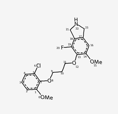 COc1cccc(Cl)c1OCCCOc1c(OC)cc2c(c1F)CNC2